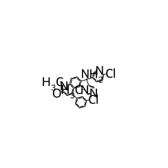 Cn1cncc1C(N)(c1ccc(Cl)nc1)c1ccc2c(c1)c(-c1cccc(Cl)c1)cc(=O)n2C